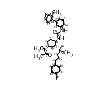 CC(=O)N(C)[C@H]1CC[C@@H](NC(=O)Nc2cccc(-c3nnnn3C)c2)[C@H](CN(C)CCCc2ccc(F)cc2)C1